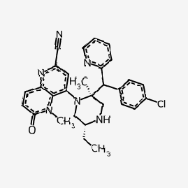 CC[C@@H]1CN(c2cc(C#N)nc3ccc(=O)n(C)c23)[C@@](C)(C(c2ccc(Cl)cc2)c2ccccn2)CN1